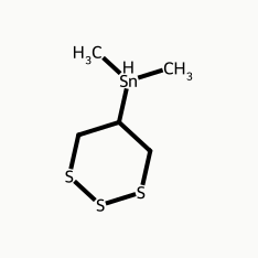 [CH3][SnH]([CH3])[CH]1CSSSC1